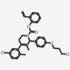 C=Cc1ccccc1OC(=O)N1CCC(c2cc(Cl)ccc2C)=C(C)C1c1ccc(OCCCCl)cc1